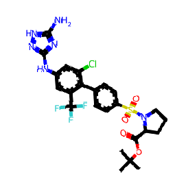 CC(C)(C)OC(=O)C1CCCN1S(=O)(=O)c1ccc(-c2c(Cl)cc(Nc3n[nH]c(N)n3)cc2C(F)(F)F)cc1